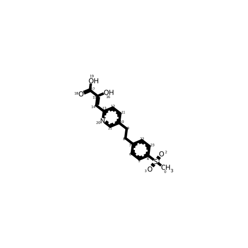 CS(=O)(=O)c1ccc(CCc2ccc(/C=C(\O)C(=O)O)nc2)cc1